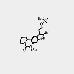 CC(C)(C)OC(=O)N1CCCCC1c1ccc2[nH]c(Br)c(CCO[Si](C)(C)C(C)(C)C)c2c1